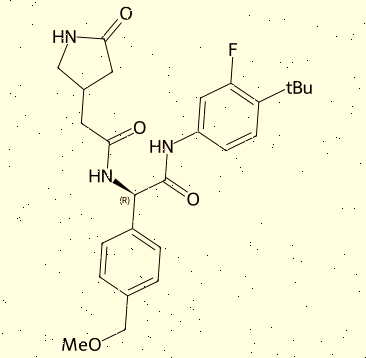 COCc1ccc([C@@H](NC(=O)CC2CNC(=O)C2)C(=O)Nc2ccc(C(C)(C)C)c(F)c2)cc1